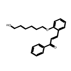 O=C(/C=C/c1ccccc1OCCCCCCO)c1ccccc1